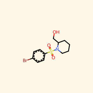 O=S(=O)(c1ccc(Br)cc1)N1CCCCC1CO